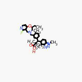 CCC1CN(Cc2cc(C(c3ccc4c(nnn4C)c3C)C(C)(C)C(=O)O)ccc2C)Cc2c(ccnc2F)O1